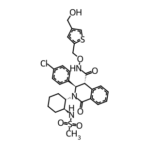 CS(=O)(=O)N[C@H]1CCCC[C@@H]1N1C(=O)c2ccccc2[C@@H](C(=O)NOCc2cc(CO)cs2)[C@@H]1c1ccc(Cl)cc1